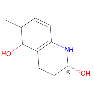 CC1C=CC2=C(CC[C@@H](O)N2)C1O